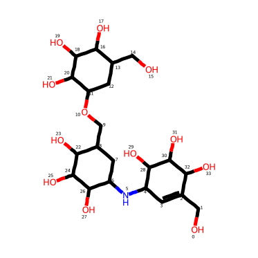 OCC1=CC(NC2CC(COC3CC(CO)C(O)C(O)C3O)C(O)C(O)C2O)C(O)C(O)C1O